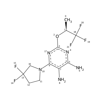 C[C@H](Oc1nc(N)c(N)c(N2CCC(F)(F)C2)n1)C(F)(F)F